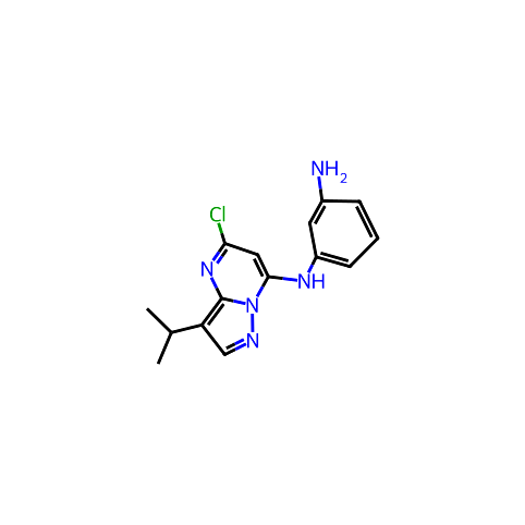 CC(C)c1cnn2c(Nc3cccc(N)c3)cc(Cl)nc12